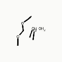 CCl.CO.COCOC.O